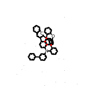 c1ccc(-c2cccc(N(c3ccc4c(c3)C3(c5ccccc5Oc5ccccc53)c3cc5ccccc5cc3-4)c3ccccc3-c3ccccc3)c2)cc1